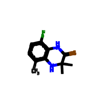 CC1(C)Nc2c(C(F)(F)F)ccc(F)c2NC1=S